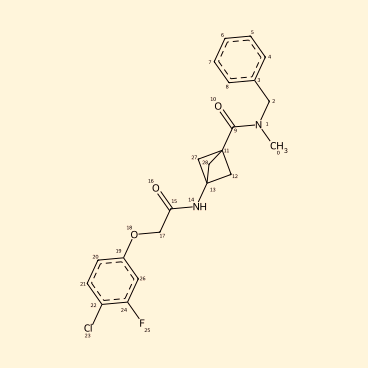 CN(Cc1ccccc1)C(=O)C12CC(NC(=O)COc3ccc(Cl)c(F)c3)(C1)C2